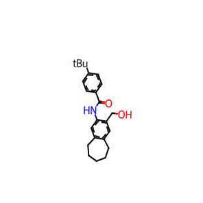 CC(C)(C)c1ccc(C(=O)Nc2cc3c(cc2CO)CCCCC3)cc1